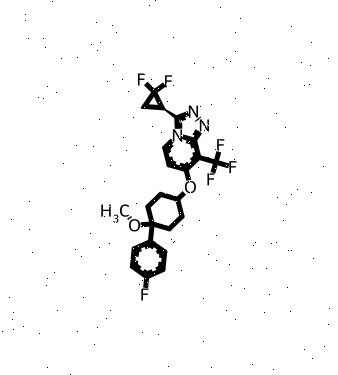 COC1(c2ccc(F)cc2)CCC(Oc2ccn3c([C@H]4CC4(F)F)nnc3c2C(F)(F)F)CC1